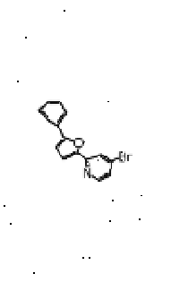 Brc1ccnc(-c2ccc(-c3ccccc3)o2)c1